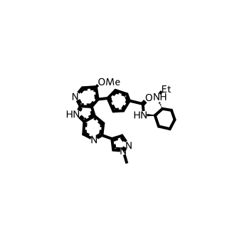 CCN[C@@H]1CCCC[C@H]1NC(=O)c1ccc(-c2c(OC)cnc3[nH]c4cnc(-c5cnn(C)c5)cc4c23)cc1